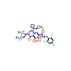 C=C[C@H](C)N1CN(C2(C=C)CCC2)n2cc(C(=O)NCc3c(F)cc(F)cc3F)c(=O)c(O)c2C1=O